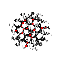 BBB(B)B(B(B(B)B)B(B)B)B(B(B(B)B)B(B)B)B(B(B(B(B)B)B(B)B)B(B(B)B)B(B)B)B(B(B(B(B(B)B)B(B)B)B(B(B)B)B(B)B)B(B(B(B)B)B(B)B)B(B(B)B)B(B)B)B(B(B(B(B)B)B(B)B)B(B(B)B)B(B)B)B(B(B(B)B)B(B)B)B(B(B)B)B(B)B